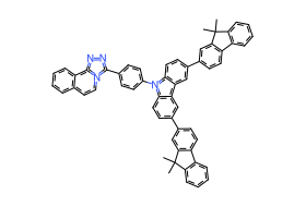 CC1(C)c2ccccc2-c2ccc(-c3ccc4c(c3)c3cc(-c5ccc6c(c5)C(C)(C)c5ccccc5-6)ccc3n4-c3ccc(-c4nnc5c6ccccc6ccn45)cc3)cc21